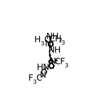 CC(C)(N)c1ccc(NCC#Cc2cc3c(NC4CCN(CC(F)(F)F)CC4)cccc3n2CC(F)(F)F)cn1